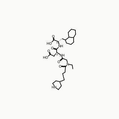 CCN(CC(=O)N[C@@H](CC(=O)O)C(=O)N[C@@H](CC1CCCC2CCCCC21)C(=O)O)C(=O)CCCC1CCNCC1